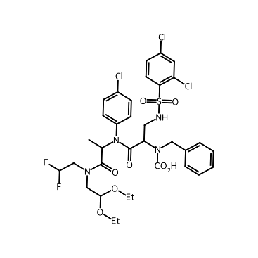 CCOC(CN(CC(F)F)C(=O)C(C)N(C(=O)C(CNS(=O)(=O)c1ccc(Cl)cc1Cl)N(Cc1ccccc1)C(=O)O)c1ccc(Cl)cc1)OCC